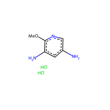 COc1ncc(N)cc1N.Cl.Cl